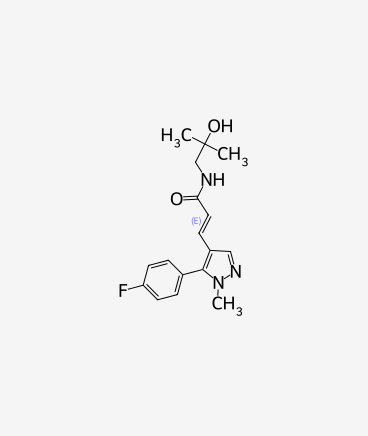 Cn1ncc(/C=C/C(=O)NCC(C)(C)O)c1-c1ccc(F)cc1